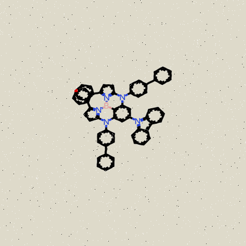 c1ccc(-c2ccc(N3c4cc(-n5c6ccccc6c6ccccc65)cc5c4B(n4c(-c6ccccc6)ccc43)n3c(-c4ccccc4)ccc3N5c3ccc(-c4ccccc4)cc3)cc2)cc1